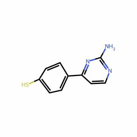 Nc1nccc(-c2ccc(S)cc2)n1